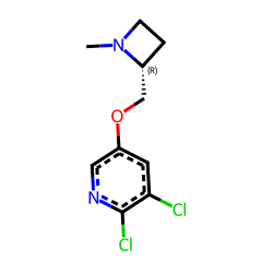 CN1CC[C@@H]1COc1cnc(Cl)c(Cl)c1